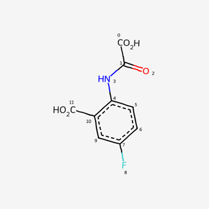 O=C(O)C(=O)Nc1ccc(F)cc1C(=O)O